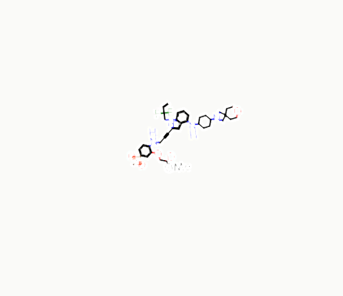 C=CC(F)(F)Cn1c(C#CCNc2ccc(S(C)(=O)=O)cc2OCC(=O)OC)cc2c(NC3CCC(N4CC5(CCOCC5)C4)CC3)cccc21